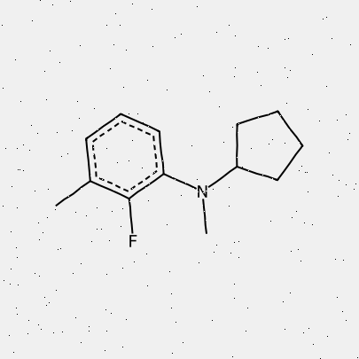 Cc1cccc(N(C)C2CCCC2)c1F